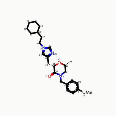 COc1ccc(CN2C[C@@H](C)O[C@@H](Cc3cn(CCC4CCCCC4)cn3)C2=O)cc1